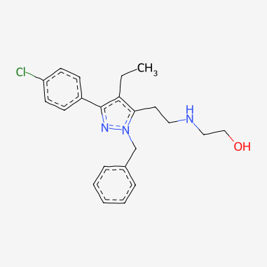 CCc1c(-c2ccc(Cl)cc2)nn(Cc2ccccc2)c1CCNCCO